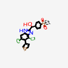 CCS(=O)(=O)c1ccc(C(O)c2nc3c(Cl)c(-c4ccsc4)c(Cl)cc3[nH]2)cc1